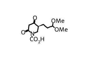 COC(CC[C@H]1CN(C(=O)O)C(=O)CC1=O)OC